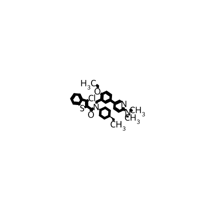 CCOc1ccc(-c2ccc(N(C)C)nc2)cc1CN(C(=O)c1sc2ccccc2c1Cl)[C@H]1CC[C@H](CC)CC1